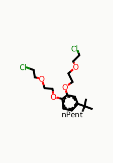 CCCCCC(C)(C)c1ccc(OCCOCCCl)c(OCCOCCCl)c1